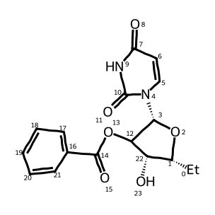 CC[C@H]1O[C@@H](n2ccc(=O)[nH]c2=O)C(OC(=O)c2ccccc2)[C@H]1O